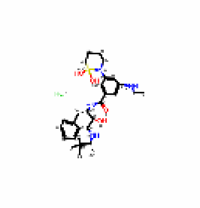 CCNc1cc(C(=O)N[C@@H](Cc2ccccc2)[C@@H](O)CN[C@H](C)C(C)(C)C)cc(N2CCCCS2(O)O)c1.Cl